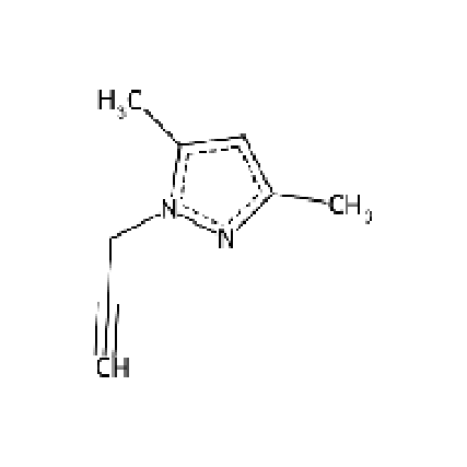 C#CCn1nc(C)cc1C